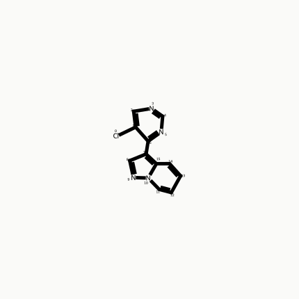 Clc1cn[c]nc1-c1cnn2ccccc12